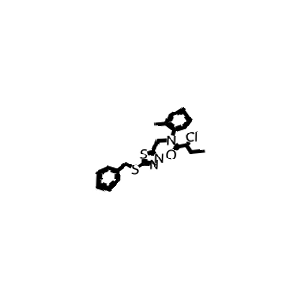 CCC(Cl)C(=O)N(Cc1nnc(SCc2ccccc2)s1)c1ccccc1C